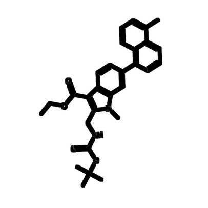 CCOC(=O)c1c(CNC(=O)OC(C)(C)C)n(C)c2cc(-c3cccc4c(C)cccc34)ccc12